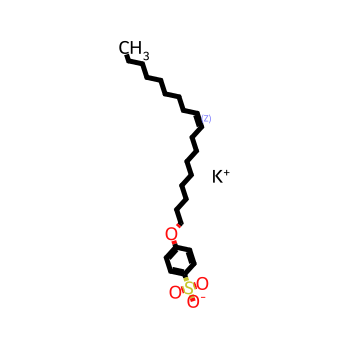 CCCCCCCC/C=C\CCCCCCCCOc1ccc(S(=O)(=O)[O-])cc1.[K+]